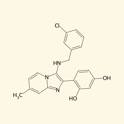 Cc1ccn2c(NCc3cccc(Cl)c3)c(-c3ccc(O)cc3O)nc2c1